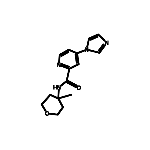 CC1(NC(=O)c2cc(-n3ccnc3)ccn2)CCOCC1